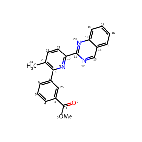 COC(=O)c1cccc(-c2nc(-c3ncc4ccccc4n3)ccc2C)c1